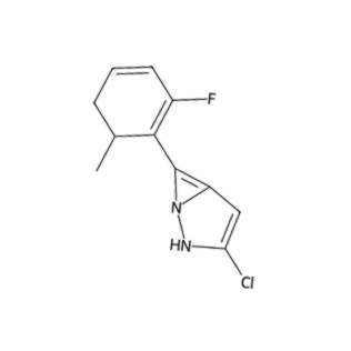 CC1CC=CC(F)=C1C1=C2C=C(Cl)NN21